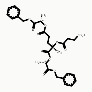 C[C@H](OC(=O)CC[C@](C)(OC(=O)CCC(=O)O)C(=O)O[C@@H](C)C(=O)OCc1ccccc1)C(=O)OCc1ccccc1